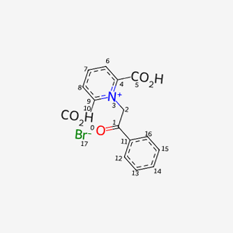 O=C(C[n+]1c(C(=O)O)cccc1C(=O)O)c1ccccc1.[Br-]